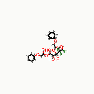 O=C(COc1ccccc1)OC(O)[C@@H](O)[C@@](O)(OC(=O)COc1ccccc1)C(F)(F)C(=O)Cl